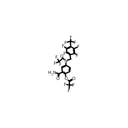 NC(=O)c1cc(N(Cc2c(F)c(F)c(C(F)(F)F)c(F)c2F)C(=O)C(F)(F)F)ccc1OC(=O)C(F)(F)F